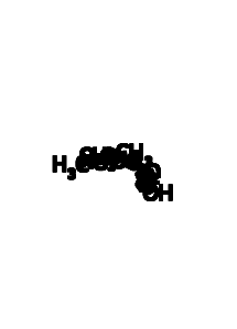 CC(Oc1cccc(OCCN(C)C)c1)[C@H]1CC[C@H](CN2Cc3ccc(O)c(F)c3C2=O)CC1